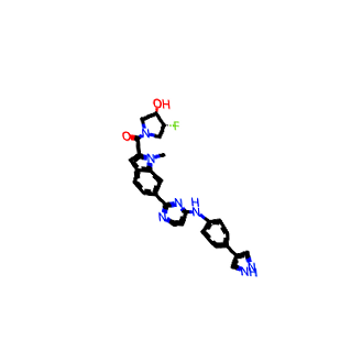 Cn1c(C(=O)N2C[C@@H](O)[C@H](F)C2)cc2ccc(-c3nccc(Nc4ccc(-c5cn[nH]c5)cc4)n3)cc21